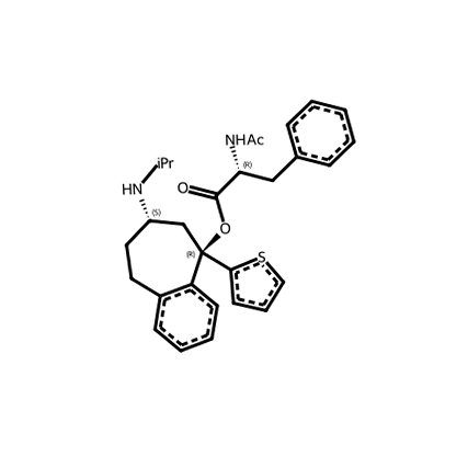 CC(=O)N[C@H](Cc1ccccc1)C(=O)O[C@]1(c2cccs2)C[C@@H](NC(C)C)CCc2ccccc21